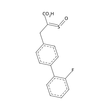 O=S=C(Cc1ccc(-c2ccccc2F)cc1)C(=O)O